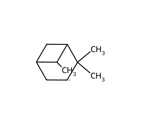 CC1C2C[CH]C(C)(C)C1C2